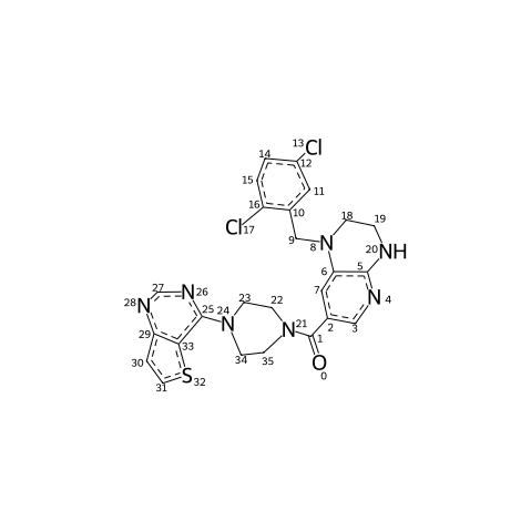 O=C(c1cnc2c(c1)N(Cc1cc(Cl)ccc1Cl)CCN2)N1CCN(c2ncnc3ccsc23)CC1